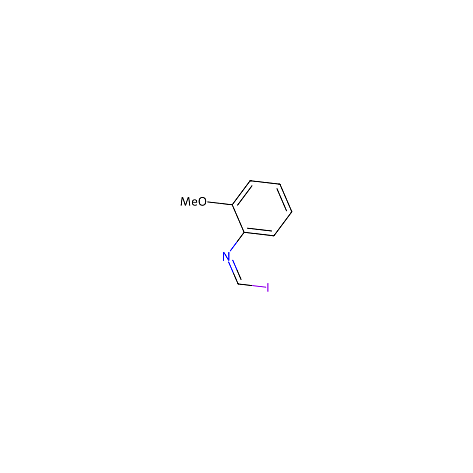 COc1ccccc1/N=C\I